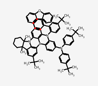 CC(C)(C)c1ccc(N(c2ccc(C(C)(C)C)cc2)c2ccc3c(c2)N(c2ccc(C(C)(C)C)cc2-c2ccccc2)c2cc(-c4cccc5oc6ccccc6c45)cc4c2B3c2cc(C(C)(C)C)cc3c2N4C2(C)CCCCC32C)cc1